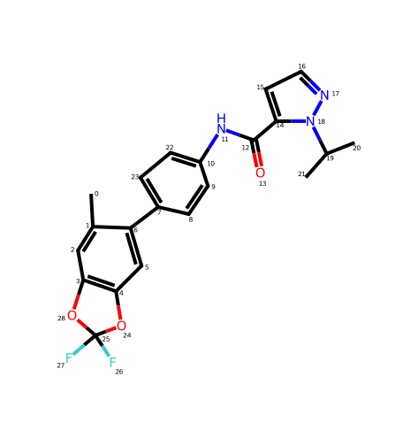 Cc1cc2c(cc1-c1ccc(NC(=O)c3ccnn3C(C)C)cc1)OC(F)(F)O2